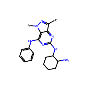 CC(C)c1nn(C(C)C)c2c(Nc3ccccc3)nc(NC3CCCCC3N)nc12